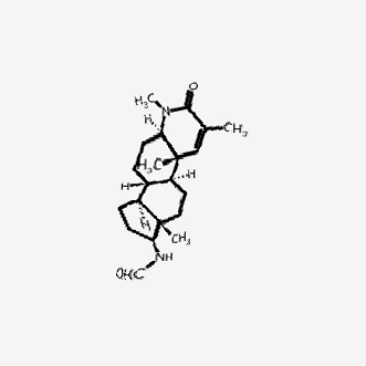 CC1=C[C@]2(C)[C@H]3CC[C@]4(C)[C@@H](NC=O)CC[C@H]4[C@@H]3CC[C@H]2N(C)C1=O